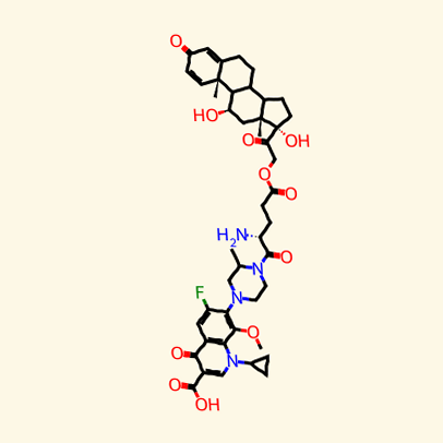 COc1c(N2CCN(C(=O)[C@H](N)CCC(=O)OCC(=O)[C@]3(O)CCC4C5CCC6=CC(=O)C=C[C@@]6(C)C5[C@H](O)C[C@]43C)C(C)C2)c(F)cc2c(=O)c(C(=O)O)cn(C3CC3)c12